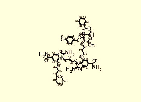 COc1ccc(COC2[C@@H](OCCCOc3cc(C(N)=O)cc4nc(N)n(C/C=C/Cn5c(N)nc6cc(C(N)=O)cc(OCCCN7CCOCC7)c65)c34)[C@@H](OC)O[C@@H]3COC(c4ccccc4)O[C@@H]23)cc1